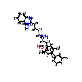 Cc1cccc(C2=C[C@@H]3CC[C@H]2C[C@]3(O)CCNCCCCc2nc3ccccc3[nH]2)c1